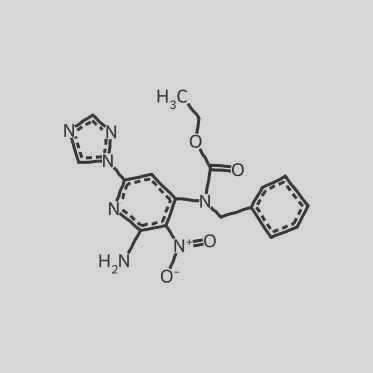 CCOC(=O)N(Cc1ccccc1)c1cc(-n2cncn2)nc(N)c1[N+](=O)[O-]